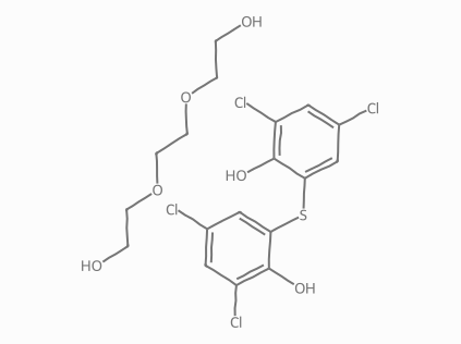 OCCOCCOCCO.Oc1c(Cl)cc(Cl)cc1Sc1cc(Cl)cc(Cl)c1O